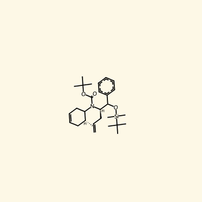 C=CC[C@H](C(O[Si](C)(C)C(C)(C)C)c1ccccc1)N(C(=O)OC(C)(C)C)C1CC=CC[C@H]1C